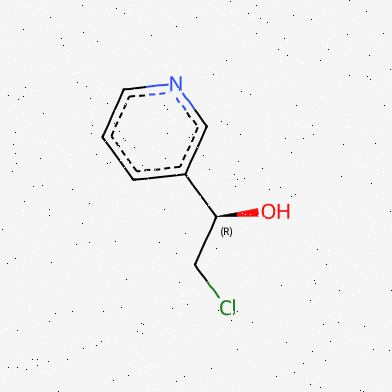 O[C@@H](CCl)c1cccnc1